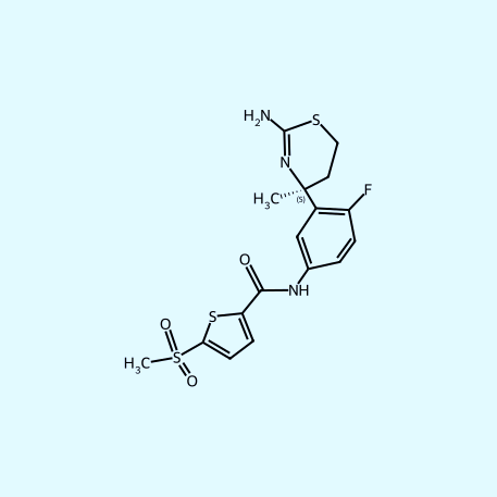 C[C@@]1(c2cc(NC(=O)c3ccc(S(C)(=O)=O)s3)ccc2F)CCSC(N)=N1